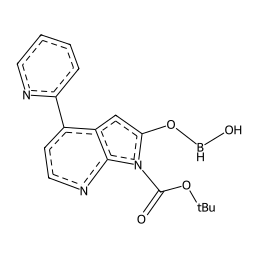 CC(C)(C)OC(=O)n1c(OBO)cc2c(-c3ccccn3)ccnc21